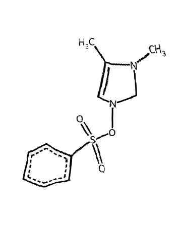 CC1=CN(OS(=O)(=O)c2ccccc2)CN1C